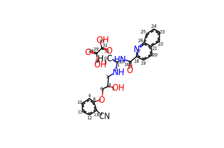 CC(NCC(O)COc1ccccc1C#N)NC(=O)c1ccc2ccccc2n1.O=C(O)C(=O)O